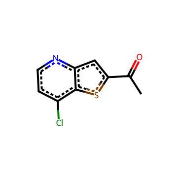 CC(=O)c1cc2nccc(Cl)c2s1